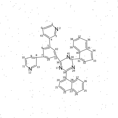 c1cncc(-c2cc(-c3cccnc3)cc(-c3nc(-c4cccc5ccccc45)nc(-c4cccc5ccccc45)n3)c2)c1